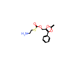 C=C1OC(COC(=O)SCCN)=C(c2ccccc2)O1